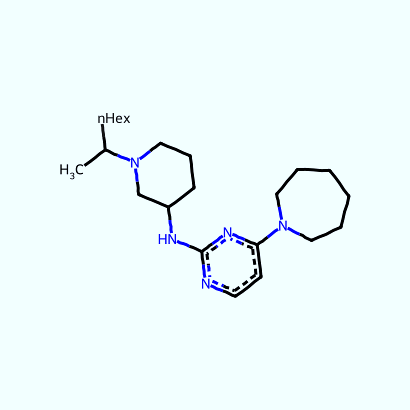 CCCCCCC(C)N1CCCC(Nc2nccc(N3CCCCCC3)n2)C1